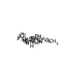 CCOCCc1cc2n(n1)CC[C@@H](NC(=O)c1ncn(Cc3ccccc3F)n1)C(=O)N2C